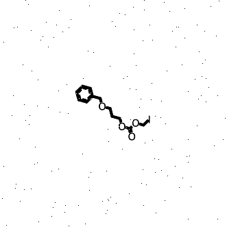 O=C(OCI)OCCCOCc1ccccc1